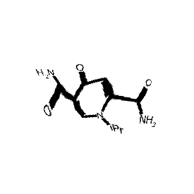 CC(C)n1cc(C(N)=O)c(=O)cc1C(N)=O